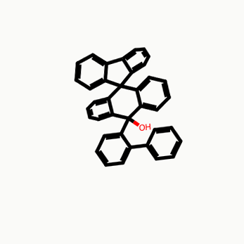 OC1(c2ccccc2-c2ccccc2)c2ccccc2C2(c3ccccc3-c3ccccc32)c2ccccc21